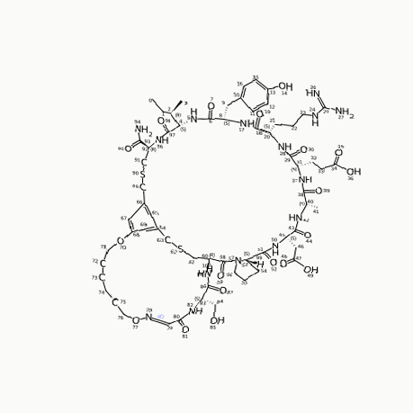 CC[C@@H](C)[C@@H]1NC(=O)[C@H](Cc2ccc(O)cc2)NC(=O)[C@H](CCCNC(=N)N)NC(=O)[C@H](CCC(=O)O)NC(=O)[C@H](C)NC(=O)[C@H](CC(=O)O)NC(=O)[C@@H]2CCCN2C(=O)[C@@H]2CSCc3cc(cc(c3)OCCCCCCO/N=C/C(=O)N[C@@H](CO)C(=O)N2)CSC[C@@H](C(N)=O)NC1=O